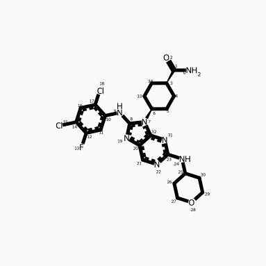 NC(=O)[C@H]1CC[C@@H](n2c(Nc3cc(F)c(Cl)cc3Cl)nc3cnc(NC4CCOCC4)nc32)CC1